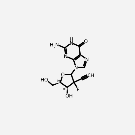 C#CC1(F)C(n2cnc3c(=O)[nH]c(N)nc32)O[C@H](CO)[C@@H]1O